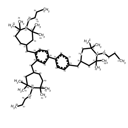 CCCON1C(C)(C)CCC(Cc2ccc(-c3ccc(CC4CCC(C)(C)N(OCCC)C(C)(C)C4)c(CC4CCC(C)(C)N(OCCC)C(C)(C)C4)c3)cc2)CC1(C)C